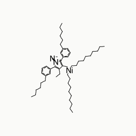 CCCCCCCCC[CH2][Ni][CH2]CCCCCCCCC.CCCCCCc1cccc(C2=C(C)C(CC)=C(c3cccc(CCCCCC)c3)[N+]2=[N-])c1